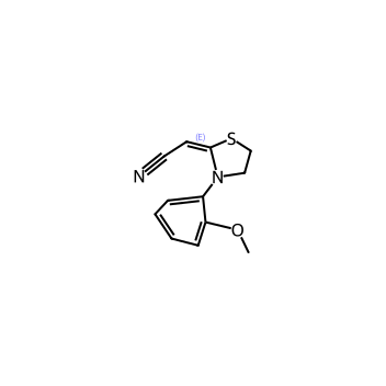 COc1ccccc1N1CCS/C1=C/C#N